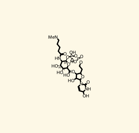 CNCCCCC(=O)NC1[C@@H](OP(=O)(O)OP(=O)(O)OCCC2OC(N3C=CC(O)NC3=O)C(O)C2O)OC(CO)[C@H](O)[C@@H]1O